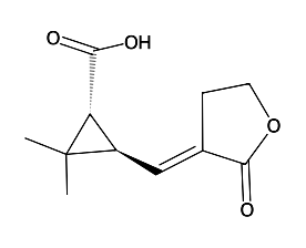 CC1(C)[C@H](/C=C2\CCOC2=O)[C@H]1C(=O)O